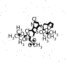 CC(C)(C)OC(=O)N[C@H](Cc1sc2c(N(Cc3ccco3)C(=O)OC(C)(C)C)cc(Cl)nc2c1Cl)CS(C)(=O)=O